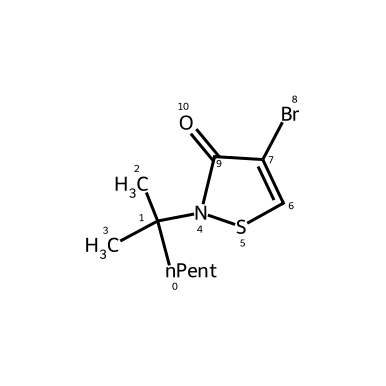 CCCCCC(C)(C)n1scc(Br)c1=O